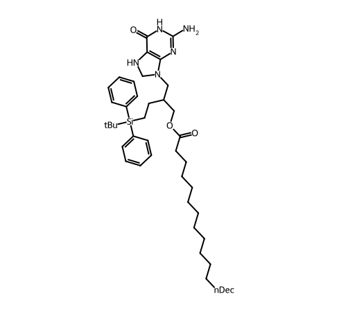 CCCCCCCCCCCCCCCCCCCCCC(=O)OCC(CC[Si](c1ccccc1)(c1ccccc1)C(C)(C)C)CN1CNc2c1nc(N)[nH]c2=O